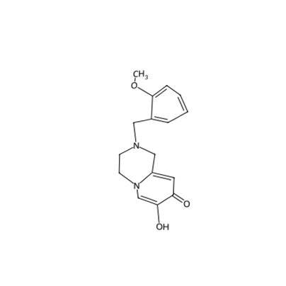 COc1ccccc1CN1CCn2cc(O)c(=O)cc2C1